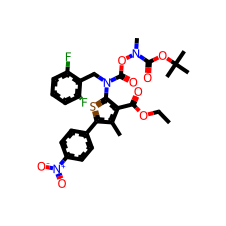 CCOC(=O)c1c(N(Cc2c(F)cccc2F)C(=O)ON(C)C(=O)OC(C)(C)C)sc(-c2ccc([N+](=O)[O-])cc2)c1C